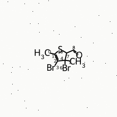 CC1=C(Br)C(C)(Br)C(C=O)S1